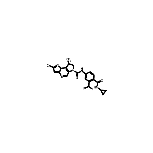 O=C(NC1CC1)c1ncc(NC(=O)N2CC(C(F)(F)F)c3c2cnc2cc(Cl)nn32)cc1C(F)F